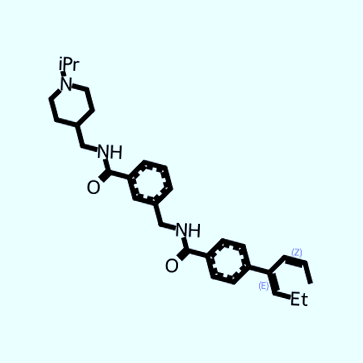 C/C=C\C(=C/CC)c1ccc(C(=O)NCc2cccc(C(=O)NCC3CCN(C(C)C)CC3)c2)cc1